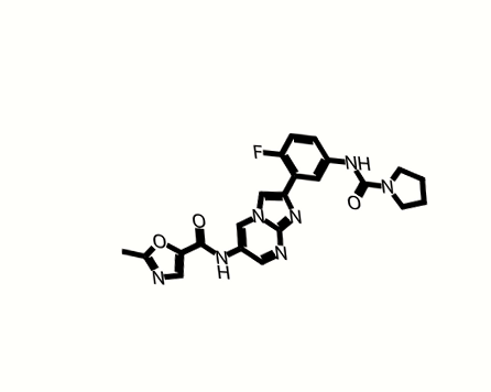 Cc1ncc(C(=O)Nc2cnc3nc(-c4cc(NC(=O)N5CCCC5)ccc4F)cn3c2)o1